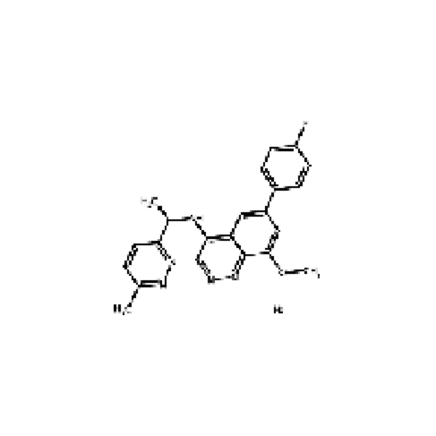 COc1cc(-c2ccc(F)cc2)cc2c(N[C@H](C)c3ccc(C)nn3)cnnc12.[N]